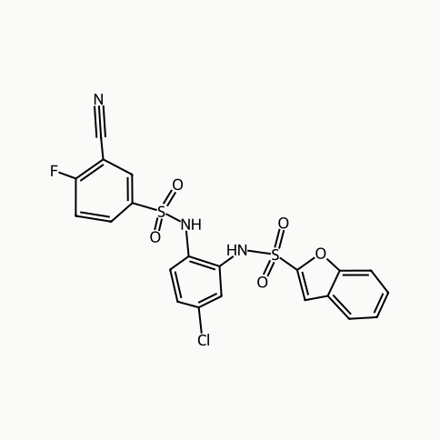 N#Cc1cc(S(=O)(=O)Nc2ccc(Cl)cc2NS(=O)(=O)c2cc3ccccc3o2)ccc1F